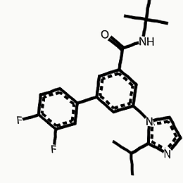 CC(C)c1nccn1-c1cc(C(=O)NC(C)(C)C)cc(-c2ccc(F)c(F)c2)c1